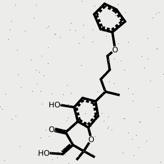 CC(CCCOc1ccccc1)c1cc(O)c2c(c1)OC(C)(C)C(=CO)C2=O